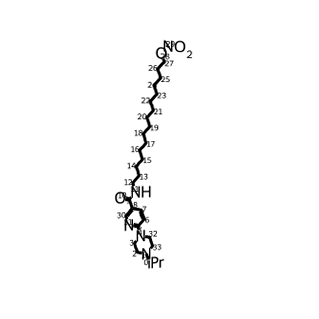 CC(C)N1CCN(c2ccc(C(=O)NCCCCCCCCCCCCCCCCO[N+](=O)[O-])cn2)CC1